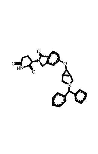 O=C1CCC(N2Cc3cc(OC4C5CN(C(c6ccccc6)c6ccccc6)CC54)ccc3C2=O)C(=O)N1